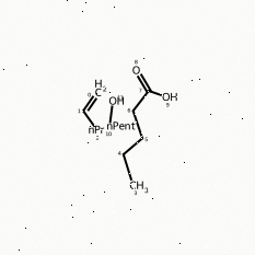 C=CCCC.CCCCC(=O)O.CCCCCO